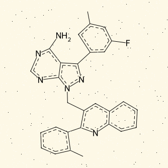 Cc1cc(F)cc(-c2nn(Cc3cc4ccccc4nc3-c3ccccc3C)c3ncnc(N)c23)c1